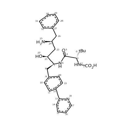 CC(C)(C)[C@H](NC(=O)O)C(=O)N[C@@H](Cc1ccc(-c2ccccn2)cc1)[C@@H](O)C[C@@H](N)Cc1ccccc1